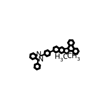 CC1(C)c2cc3cc(-c4ccc(-c5nc(-c6ccccc6)c6ccccc6n5)cc4)ccc3cc2-c2c1c1ccccc1c1ccccc21